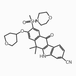 CC1(C)c2cc(OC3CCOCC3)c([SH](C)(=O)N3CCOCC3)cc2C(=O)c2c1[nH]c1cc(C#N)ccc21